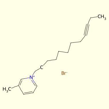 CCC#CCCCCCCCC[n+]1cccc(C)c1.[Br-]